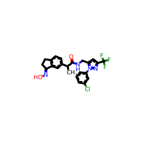 CC(C(=O)NCc1cc(C(F)(F)F)nn1-c1cccc(Cl)c1)c1ccc2c(c1)/C(=N/O)CC2